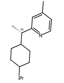 Cc1ccnc([C@@H](C)C2CCC(C(C)C)CC2)c1